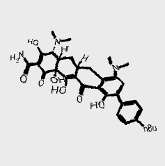 CCCCc1ccc(-c2cc(N(C)C)c3c(c2O)C(=O)C2=C(O)[C@]4(O)C(=O)C(C(N)=O)=C(O)[C@H](N(C)C)[C@@H]4C[C@@H]2C3)cc1